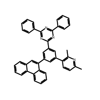 Cc1ccc(-c2cc(-c3nc(-c4ccccc4)nc(-c4ccccc4)n3)cc(-c3cc4ccccc4c4ccccc34)c2)c(C)n1